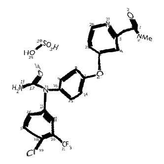 CNC(=O)c1cc(Oc2ccc(N(C(N)=O)c3ccc(Cl)c(C(F)(F)F)c3)cc2)ccn1.O=S(=O)(O)O